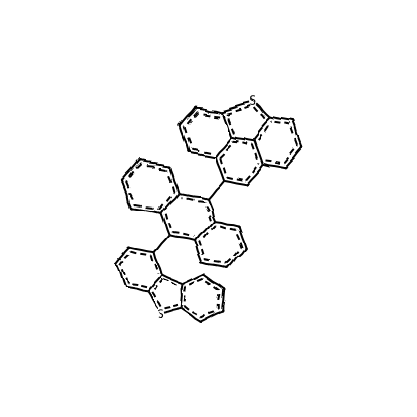 c1ccc2c(c1)sc1cccc(-c3c4ccccc4c(-c4cc5cccc6sc7cccc4c7c56)c4ccccc34)c12